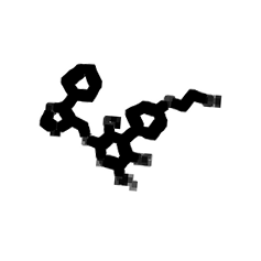 [C-]#[N+]c1c(N)nc(SCc2ncoc2-c2ccccc2)c(C#N)c1-c1ccc(OCCO)cc1